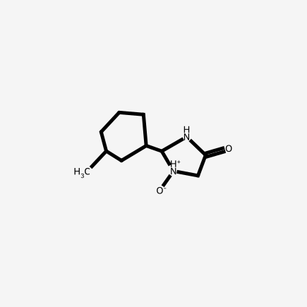 CC1CCCC(C2NC(=O)C[NH+]2[O-])C1